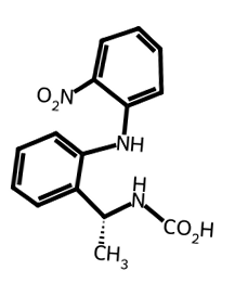 C[C@@H](NC(=O)O)c1ccccc1Nc1ccccc1[N+](=O)[O-]